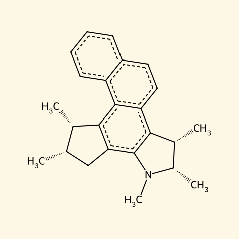 C[C@@H]1c2c(c3c(c4ccc5ccccc5c24)[C@H](C)[C@H](C)N3C)C[C@@H]1C